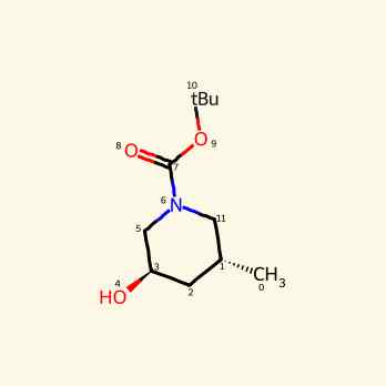 C[C@@H]1C[C@@H](O)CN(C(=O)OC(C)(C)C)C1